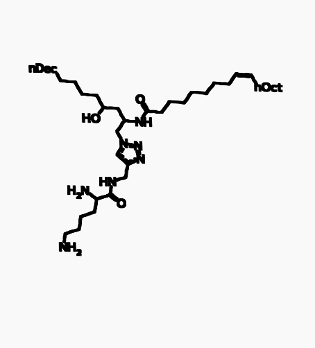 CCCCCCCC/C=C\CCCCCCCC(=O)NC(CC(O)CCCCCCCCCCCCCC)Cn1cc(CNC(=O)C(N)CCCCN)nn1